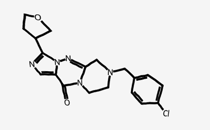 O=c1c2cnc(C3CCOC3)n2nc2n1CCN(Cc1ccc(Cl)cc1)C2